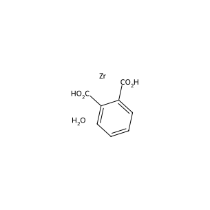 O.O=C(O)c1ccccc1C(=O)O.[Zr]